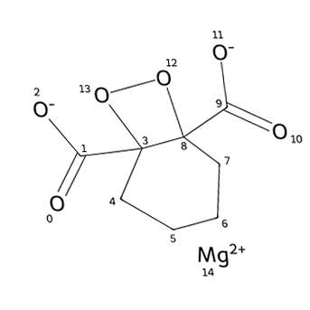 O=C([O-])C12CCCCC1(C(=O)[O-])OO2.[Mg+2]